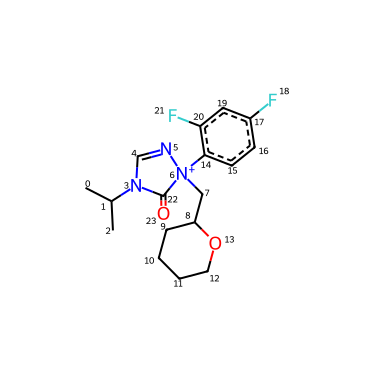 CC(C)N1C=N[N+](CC2CCCCO2)(c2ccc(F)cc2F)C1=O